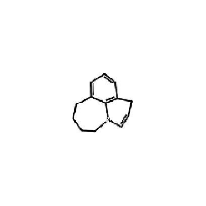 C1=CN2CCCCc3cccc(c32)C1